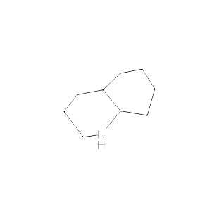 C[C@@]12CCCCC1CCCN2